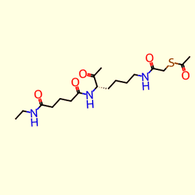 CCNC(=O)CCCC(=O)N[C@@H](CCCCNC(=O)CSC(C)=O)C(C)=O